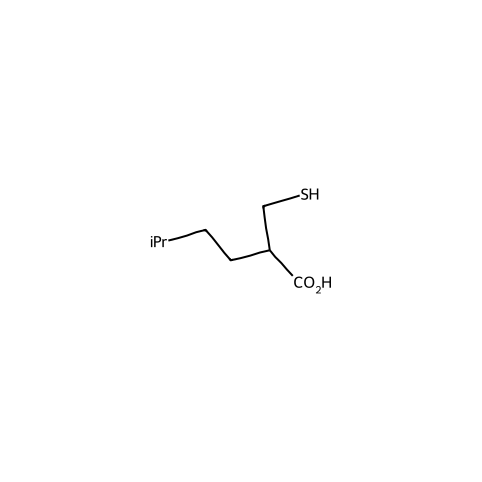 CC(C)CCC(CS)C(=O)O